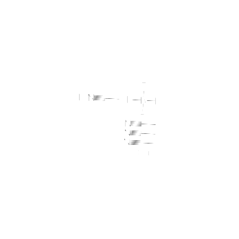 CC#N.CC#N.CC#N.CC#N.F[B-](F)(F)F.[Cu].[H+]